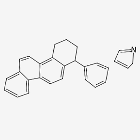 C1=CCN=C1.c1ccc(C2CCCc3c2ccc2c3ccc3ccccc32)cc1